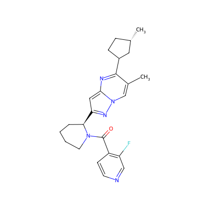 Cc1cn2nc([C@@H]3CCCCN3C(=O)c3ccncc3F)cc2nc1C1CC[C@H](C)C1